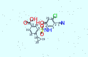 N#Cc1cc(NS(=O)(=O)c2cc(C(=O)O)ccc2C2CC2)c(O)cc1Cl